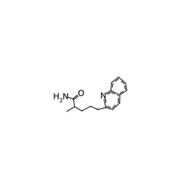 CC(CCCc1ccc2ccccc2n1)C(N)=O